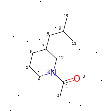 CC(=O)N1CCCC(CC(C)C)C1